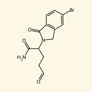 NC(=O)C(CCC=O)N1Cc2cc(Br)ccc2C1=O